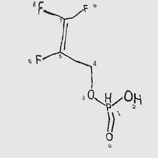 O=[PH](O)OCC(F)=C(F)F